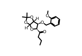 CCCC(=O)[C@H]1O[C@@H]2OC(C)(C)O[C@@H]2[C@H]1OCc1ccccc1OC